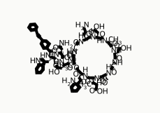 CC(CC(=O)O)[C@@H]1NC(=O)[C@@H](CO)NC(=O)CNC(=O)[C@H](CC(=O)O)NC(=O)[C@@H](C)NC(=O)[C@H](CC(=O)O)NC(=O)[C@H](CCCN)NC(=O)CNC(=O)[C@@H](NC(=O)[C@H](CC(=O)O)NC(=O)[C@@H](CC(N)=O)NC(=O)[C@H](Cc2c[nH]c3ccccc23)NC(=O)c2ccc(C#Cc3ccccc3)cc2)[C@@H](C)OC(=O)[C@H](CC(=O)c2ccccc2N)NC1=O